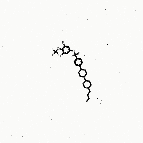 CCCCC1CCC(C2CCC(c3ccc(C(F)(F)Oc4cc(F)c(OC(F)(F)F)c(F)c4)cc3)CC2)CC1